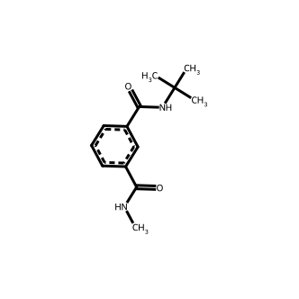 CNC(=O)c1cccc(C(=O)NC(C)(C)C)c1